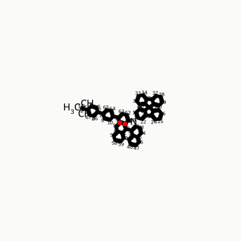 CC(C)(C)c1ccc(-c2ccc(-c3ccc(N(c4ccc5c(c4)-c4ccccc4C54c5ccccc5-c5ccccc54)c4ccc5ccccc5c4-c4cccc5ccccc45)cc3)cc2)cc1